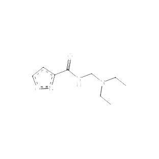 CCN(CC)CNC(=O)c1ccon1